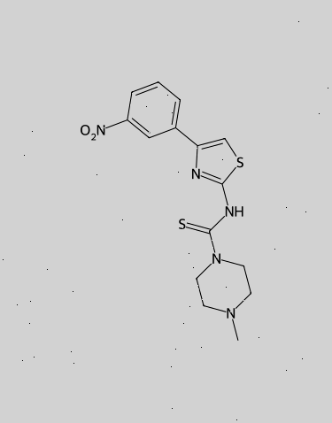 CN1CCN(C(=S)Nc2nc(-c3cccc([N+](=O)[O-])c3)cs2)CC1